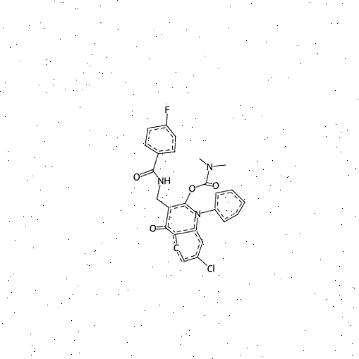 CN(C)C(=O)Oc1c(CNC(=O)c2ccc(F)cc2)c(=O)c2ccc(Cl)cc2n1-c1ccccc1